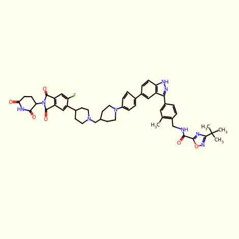 Cc1cc(-c2n[nH]c3ccc(-c4ccc(N5CCC(CN6CCC(c7cc8c(cc7F)C(=O)N(C7CCC(=O)NC7=O)C8=O)CC6)CC5)cc4)cc23)ccc1CNC(=O)c1nc(C(C)(C)C)no1